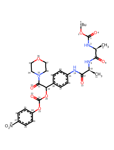 C[C@H](NC(=O)OC(C)(C)C)C(=O)N[C@@H](C)C(=O)Nc1ccc(C(OC(=O)Oc2ccc([N+](=O)[O-])cc2)C(=O)N2CCOCC2)cc1